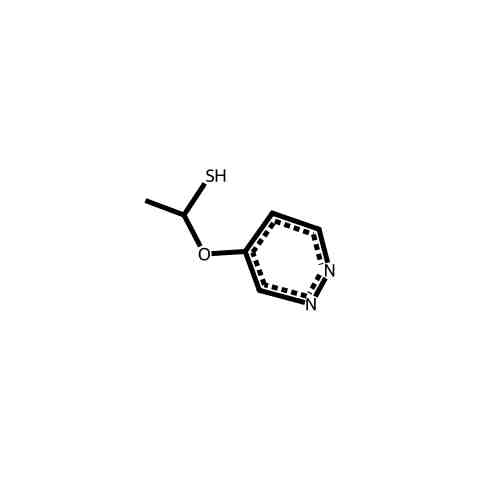 CC(S)Oc1ccnnc1